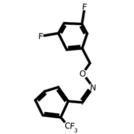 Fc1cc(F)cc(CO/N=[C]\c2ccccc2C(F)(F)F)c1